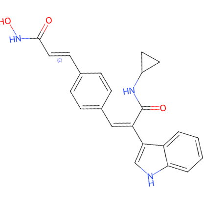 O=C(/C=C/c1ccc(C=C(C(=O)NC2CC2)c2c[nH]c3ccccc23)cc1)NO